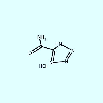 Cl.NC(=O)c1nnn[nH]1